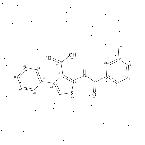 Cc1cccc(C(=O)Nc2scc(-c3ccccc3)c2C(=O)O)c1